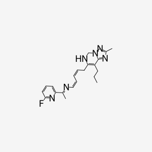 CCCC1=C(C\C=C/C=C\N=C(/C)c2cccc(F)n2)NCn2nc(C)nc21